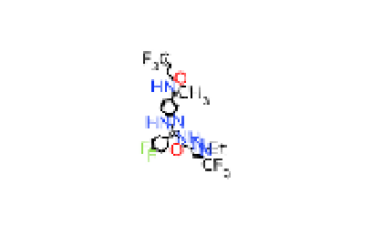 CCn1nc(C(=O)N[C@H](c2nc3cc([C@@H](C)NC(=O)CCC(F)(F)F)ccc3[nH]2)C2CCC(F)(F)CC2)cc1C(F)(F)F